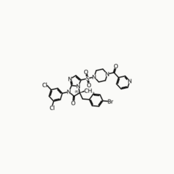 C[C@@]1(Cc2ccc(Br)cc2)C(=O)N(c2cc(Cl)cc(Cl)c2)c2ncc(S(=O)(=O)N3CCN(C(=O)c4cccnc4)CC3)n21